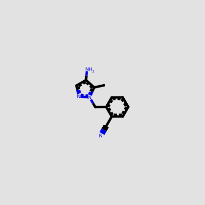 Cc1c(N)cnn1Cc1ccccc1C#N